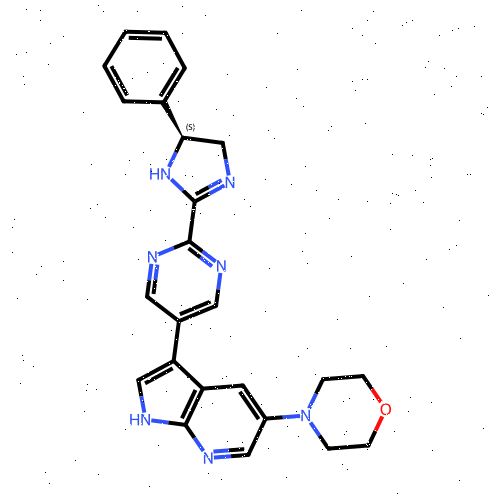 c1ccc([C@H]2CN=C(c3ncc(-c4c[nH]c5ncc(N6CCOCC6)cc45)cn3)N2)cc1